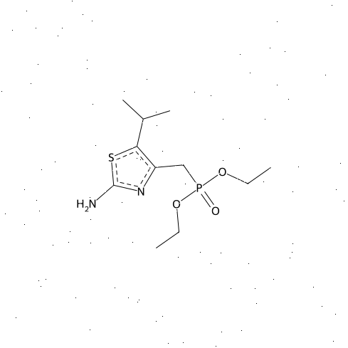 CCOP(=O)(Cc1nc(N)sc1C(C)C)OCC